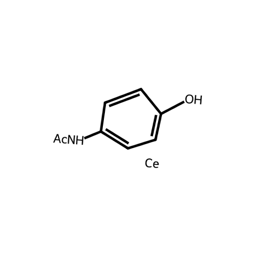 CC(=O)Nc1ccc(O)cc1.[Ce]